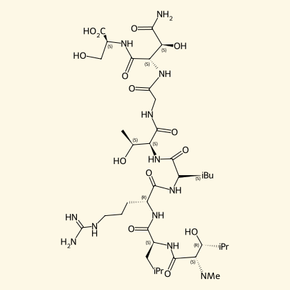 CC[C@H](C)C(NC(=O)[C@@H](CCCNC(=N)N)NC(=O)[C@H](CC(C)C)NC(=O)[C@@H](NC)[C@H](O)C(C)C)C(=O)N[C@H](C(=O)NCC(=O)N[C@H](C(=O)N[C@@H](CO)C(=O)O)[C@H](O)C(N)=O)[C@H](C)O